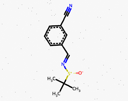 CC(C)(C)[S@@+]([O-])/N=C/c1cccc(C#N)c1